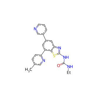 CCNC(=O)Nc1nc2cc(-c3cccnc3)cc(-c3ccc(C)cn3)c2s1